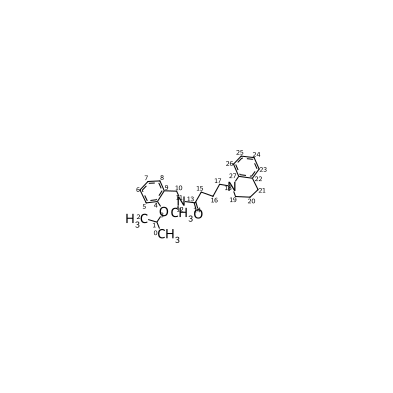 CC(C)Oc1ccccc1CN(C)C(=O)CCCN1CCCc2ccccc21